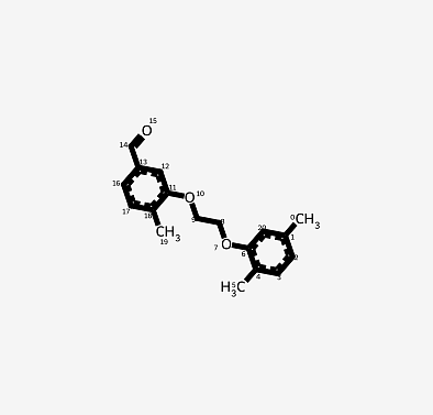 Cc1ccc(C)c(OCCOc2cc(C=O)ccc2C)c1